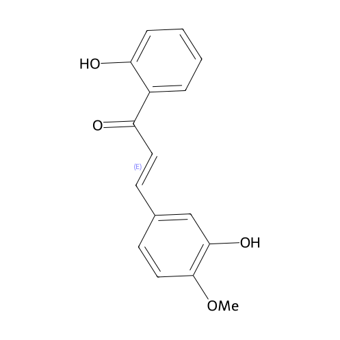 COc1ccc(/C=C/C(=O)c2ccccc2O)cc1O